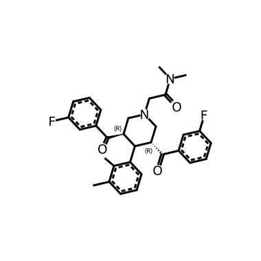 Cc1cccc(C2[C@@H](C(=O)c3cccc(F)c3)CN(CC(=O)N(C)C)C[C@@H]2C(=O)c2cccc(F)c2)c1C